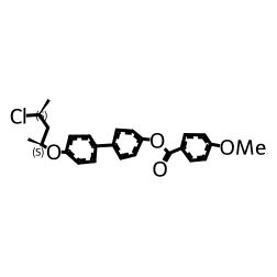 COc1ccc(C(=O)Oc2ccc(-c3ccc(O[C@@H](C)C[C@H](C)Cl)cc3)cc2)cc1